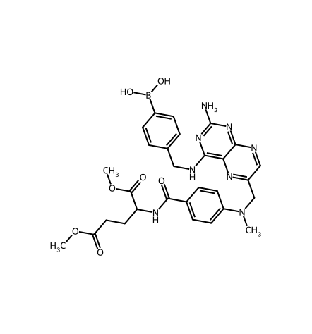 COC(=O)CCC(NC(=O)c1ccc(N(C)Cc2cnc3nc(N)nc(NCc4ccc(B(O)O)cc4)c3n2)cc1)C(=O)OC